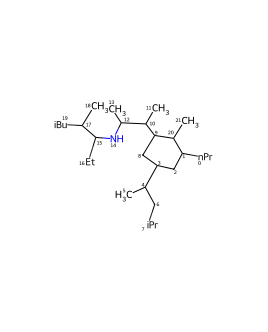 CCCC1CC(C(C)CC(C)C)CC(C(C)C(C)NC(CC)C(C)C(C)CC)C1C